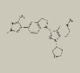 CC(=O)N1CCc2c(c(N3CCc4cc(-c5cn(C)nc5C(F)(F)F)ccc43)nn2[C@@H]2CCOC2)C1